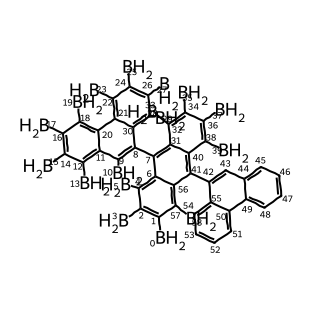 Bc1c(B)c(B)c2c(-c3c(B)c4c(B)c(B)c(B)c(B)c4c4c(B)c(B)c(B)c(B)c34)c3c(B)c(B)c(B)c(B)c3c(-c3cc4ccccc4c4ccccc34)c2c1B